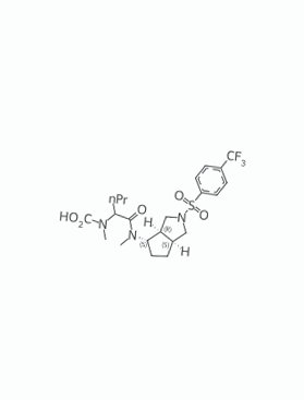 CCCC(C(=O)N(C)[C@H]1CC[C@@H]2CN(S(=O)(=O)c3ccc(C(F)(F)F)cc3)C[C@@H]21)N(C)C(=O)O